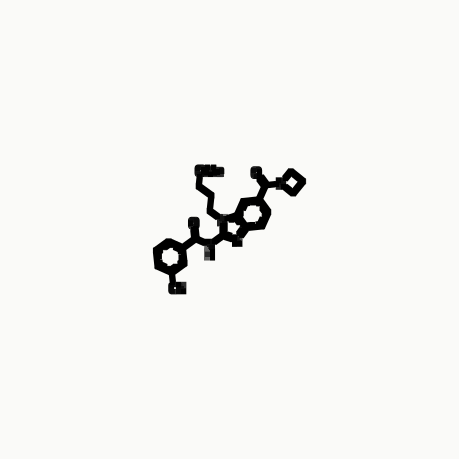 COCCCn1c(NC(=O)c2cccc(C#N)c2)nc2ccc(C(=O)N3CCC3)cc21